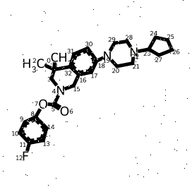 CC1(C)CN(C(=O)Oc2ccc(F)cc2)Cc2cc(N3CCN(C4CCCC4)CC3)ccc21